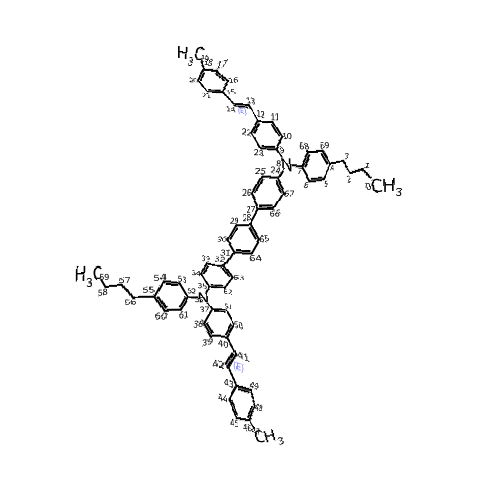 CCCCc1ccc(N(c2ccc(/C=C/c3ccc(C)cc3)cc2)c2ccc(-c3ccc(-c4ccc(N(c5ccc(/C=C/c6ccc(C)cc6)cc5)c5ccc(CCCC)cc5)cc4)cc3)cc2)cc1